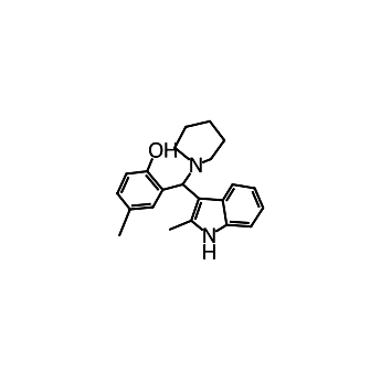 Cc1ccc(O)c(C(c2c(C)[nH]c3ccccc23)N2CCCCC2)c1